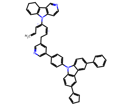 C=C/C=C(\C=C/Cc1cncc(-c2ccc(-n3c4ccc(C5=CCC=C5)cc4c4cc(-c5ccccc5)ccc43)cc2)c1)n1c2c(c3cnccc31)CCC=C2